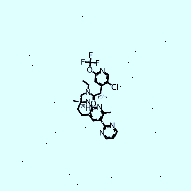 CCN(C[C@@]1(C)CCc2cc(-c3ncccn3)c(C)nc2N1)C(=O)[C@@H](C)c1cc(OC(F)(F)F)ncc1Cl